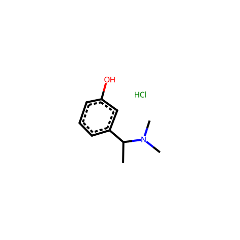 CC(c1cccc(O)c1)N(C)C.Cl